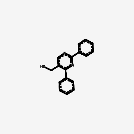 OCc1cnc(-c2ccccc2)nc1-c1ccccc1